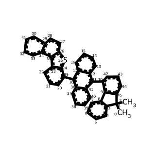 CC1(C)c2ccccc2-c2c(-c3c4ccccc4c(-c4cccc5c4sc4ccc6ccccc6c45)c4ccccc34)cccc21